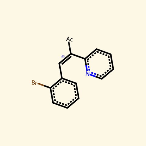 CC(=O)/C(=C/c1ccccc1Br)c1ccccn1